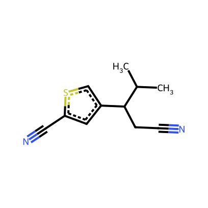 CC(C)C(CC#N)c1csc(C#N)c1